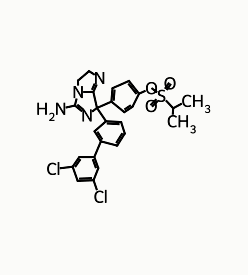 CC(C)S(=O)(=O)Oc1ccc(C2(c3cccc(-c4cc(Cl)cc(Cl)c4)c3)N=C(N)N3CCN=C32)cc1